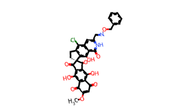 COC1=CC(=O)c2c(O)c3c(c(O)c2C1=O)C(=O)[C@]1(CCc2c1c(O)c1c(=O)[nH]c(/C=N/OCc4ccccc4)cc1c2Cl)C3=O